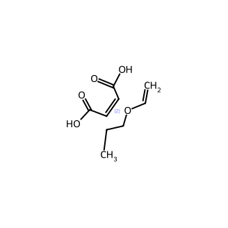 C=COCCC.O=C(O)/C=C\C(=O)O